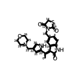 C/C(=C1\C(=O)Nc2ccc(CN3C(=O)CSC3=O)cc21)c1cc(CN2CCOCC2)c[nH]1